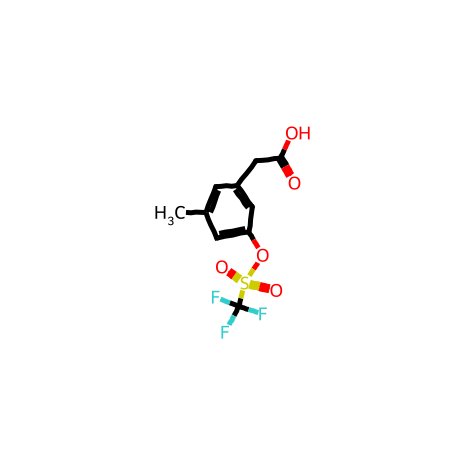 Cc1cc(CC(=O)O)cc(OS(=O)(=O)C(F)(F)F)c1